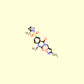 Cc1cc(Cn2c(=O)c3cc(S(=O)(=O)NC4(C)CC4)ccc3n(C)c2=O)on1